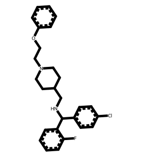 Fc1ccccc1C(NCC1CCN(CCOc2ccccc2)CC1)c1ccc(Cl)cc1